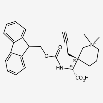 C#CC[C@]1([C@@H](NC(=O)OCC2c3ccccc3-c3ccccc32)C(=O)O)CCC[N+](C)(C)C1